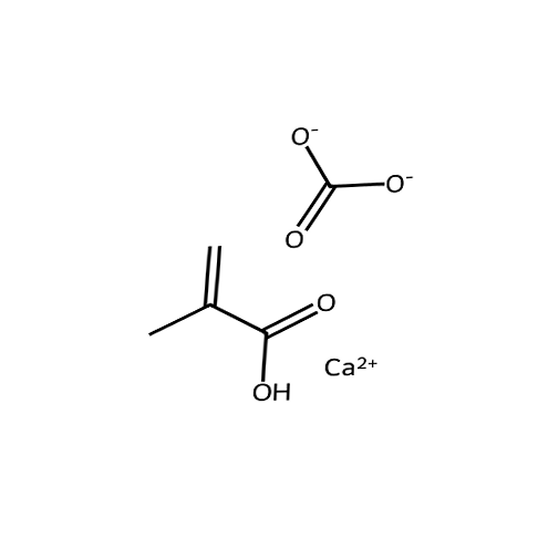 C=C(C)C(=O)O.O=C([O-])[O-].[Ca+2]